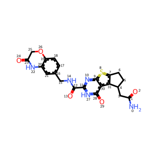 NC(=O)CC1CCc2sc3nc(C(=O)NCc4ccc5c(c4)NC(=O)CO5)[nH]c(=O)c3c21